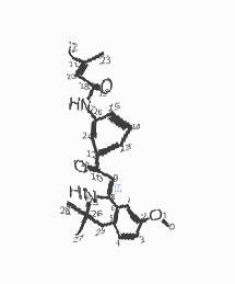 COc1ccc2c(c1)/C(=C/C(=O)c1cccc(NC(=O)C=C(C)C)c1)NC(C)(C)C2